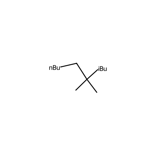 CCCCCC(C)(C)C(C)CC